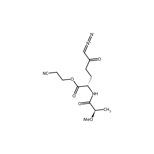 CO[C@H](C)C(=O)N[C@@H](CCC(=O)C=[N+]=[N-])C(=O)OCCC#N